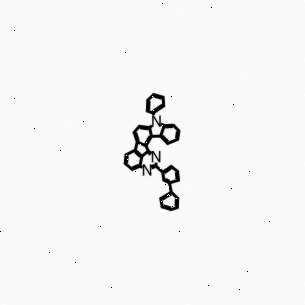 c1ccc(-c2cccc(-c3nc4c5c(cccc5n3)-c3ccc5c(c3-4)c3ccccc3n5-c3ccccc3)c2)cc1